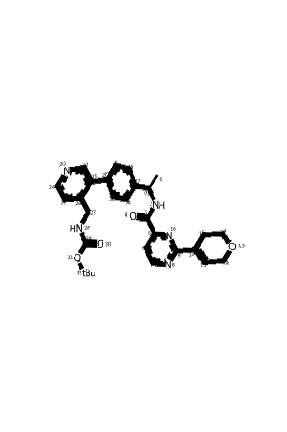 C[C@@H](NC(=O)c1ccnc(C2=CCOCC2)n1)c1ccc(-c2cnccc2CNC(=O)OC(C)(C)C)cc1